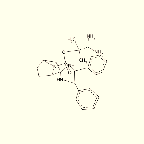 CC(C)(OC(=O)N1C2CCC1C1(C2)NC(c2ccccc2)C(c2ccccc2)N1)C(N)N